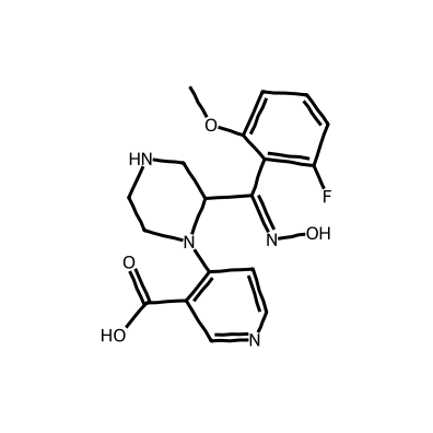 COc1cccc(F)c1C(=NO)C1CNCCN1c1ccncc1C(=O)O